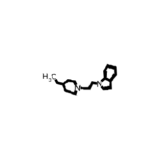 CCC1CCN(CCn2ccc3ccccc32)CC1